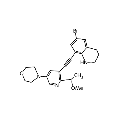 CO[C@@H](C)c1ncc(N2CCOCC2)cc1C#Cc1cc(Br)cc2c1NCCC2